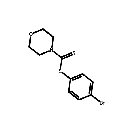 S=C(Sc1ccc(Br)cc1)N1CCOCC1